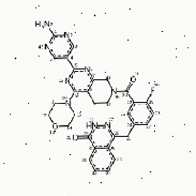 Nc1ncc(-c2nc3c(c(N4CCOCC4)n2)CCN(C(=O)c2cc(Cc4n[nH]c(=O)c5ccccc45)ccc2F)C3)cn1